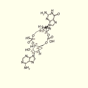 CO[C@H]1[C@H]2OP(=O)(O)OC[C@@]34C[C@@H]3[C@@H](n3cnc5c(N)ncnc53)[C@H](O)[C@@H]4O[P@@](=O)(S)OC[C@H]1S[C@H]2n1cnc2c(=O)[nH]c(N)nc21